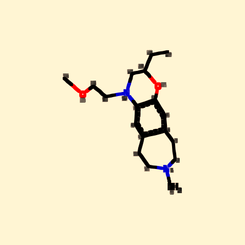 BN1CCc2cc3c(cc2CC1)N(CCOC)CC(CC)O3